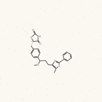 COC(CCc1nc(-c2ccccc2)oc1C)c1ccc(C[C@@H]2SC(=O)NC2=O)cc1